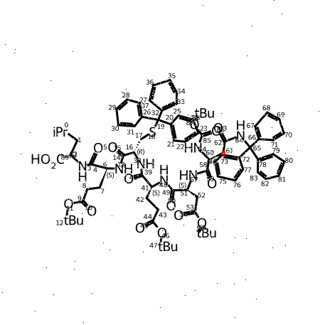 CC(C)C[C@H](NC(=O)[C@H](CCC(=O)OC(C)(C)C)NC(=O)[C@H](CSC(c1ccccc1)(c1ccccc1)c1ccccc1)NC(=O)[C@H](CCC(=O)OC(C)(C)C)NC(=O)[C@H](CC(=O)OC(C)(C)C)NC(=O)[C@H](CC(=O)NC(c1ccccc1)(c1ccccc1)c1ccccc1)NC(=O)OC(C)(C)C)C(=O)O